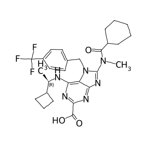 C[C@@H](Nc1nc(C(=O)O)nc2nc(N(C)C(=O)C3CCCCC3)n(Cc3ccc(C(F)(F)F)cc3)c12)C1CCC1